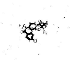 CN(C(=O)c1ccc(Cl)cc1)C1CCN(C(=O)[C@@](C)(O)C(F)(F)F)CC1